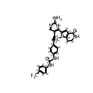 Cn1c(-c2nc(N)ncc2C#Cc2ccc(NC(=O)Nc3ccc(C(F)(F)F)cc3)cc2)cc2c1CCNC2=O